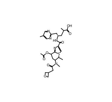 CC(=O)OC(CC(C(C)C)N(C)C(=O)CC1COC1)c1nc(C(=O)N[C@@H](Cc2ncc(C)cn2)CC(C)C(=O)O)cs1